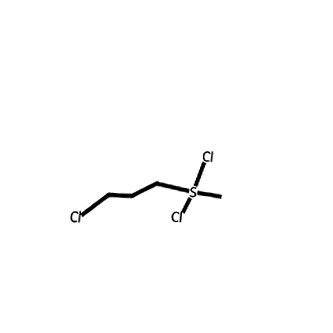 CS(Cl)(Cl)CCCCl